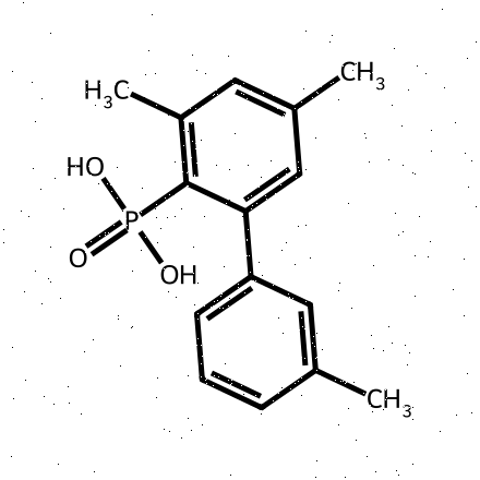 Cc1cccc(-c2cc(C)cc(C)c2P(=O)(O)O)c1